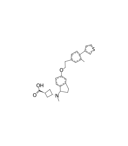 Cc1cc(CCOc2ccc3c(c2)CCC3N(C)[C@H]2C[C@H](C(=O)O)C2)ccc1-c1ccsc1